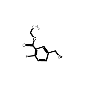 CCOC(=O)c1cc(CBr)ccc1F